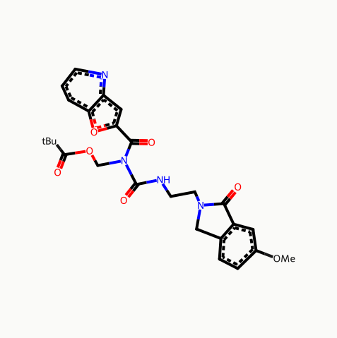 COc1ccc2c(c1)C(=O)N(CCNC(=O)N(COC(=O)C(C)(C)C)C(=O)c1cc3ncccc3o1)C2